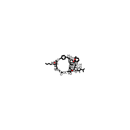 CCCCSC[C@@]1(O)C(C)C(=O)NCC(=O)OC[C@@H]2N[C@@H]([C@@H](C)O)NC(=O)[C@H](Cc3ccccc3)N(C)C(=O)[C@@H](NC(=O)C([C@@H](C)CC)NC(=O)[C@@H](NC(=O)[C@H](C)[C@H](O)C(C)C)[C@@H](C)OC2=O)c2ccc(cc2)O[C@@H]1C